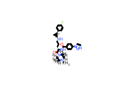 [2H]C1([2H])N(C)C([2H])([2H])C([2H])([2H])N(C(=O)[C@H](CCCN[C@@H]2C[C@H]2c2ccc(F)cc2)NC(=O)c2ccc(-n3ccnn3)cc2)C1([2H])[2H]